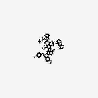 COc1ccc(CN(Cc2ccc(OC)cc2)c2cc(C)c(C(F)(F)F)c(-c3cc4nc(OC[C@@]56CCCN5CC5(C6)OCCO5)nc5c4c(c3Cl)OCCN5Cc3cccnc3NC(=O)OC(C)(C)C)n2)cc1